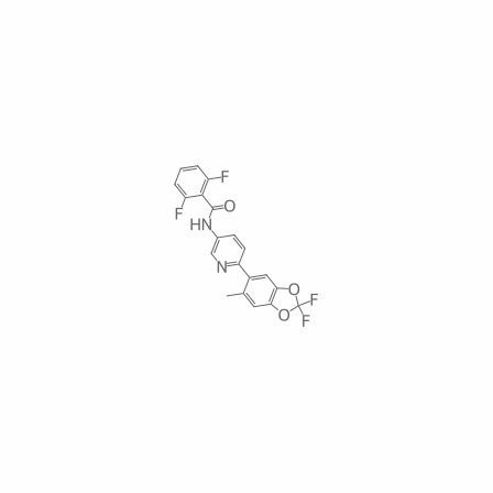 Cc1cc2c(cc1-c1ccc(NC(=O)c3c(F)cccc3F)cn1)OC(F)(F)O2